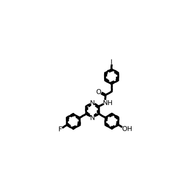 O=C(Cc1ccc(I)cc1)Nc1ncc(-c2ccc(F)cc2)nc1-c1ccc(O)cc1